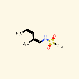 C/C=C\C(=C/NS(C)(=O)=O)C(=O)O